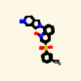 O=S(=O)(c1cccc(C(F)(F)F)c1)c1cc2cccc(N3CC4CCNCC4C3)c2[n+]([O-])c1